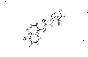 Cn1ccc2c(NC(=O)CC3CC4CC[C@H]3C4)cccc2c1=O